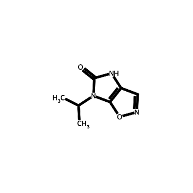 CC(C)n1c(=O)[nH]c2cnoc21